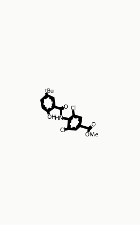 COC(=O)c1cc(Cl)c(NC(=O)c2cc(C(C)(C)C)ccc2O)c(Cl)c1